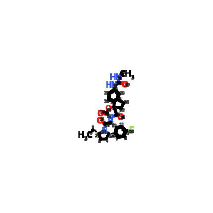 CC[C@H]1CC[C@@H](c2ccc(F)cc2)N1C(=O)CN1C(=O)OC2(CCc3cc(NC(=O)NC)ccc32)C1=O